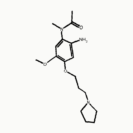 COc1cc(N(C)C(C)=O)c(N)cc1OCCCN1CCCC1